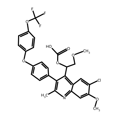 COCC(OC(=O)O)c1c(-c2ccc(Oc3ccc(OC(F)(F)F)cc3)cc2)c(C)nc2cc(OC)c(Cl)cc12